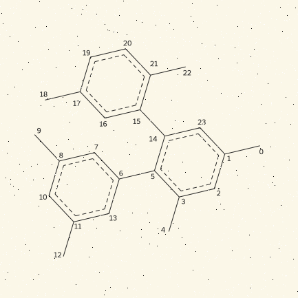 Cc1[c]c(C)c(-c2cc(C)cc(C)c2)c(-c2cc(C)ccc2C)c1